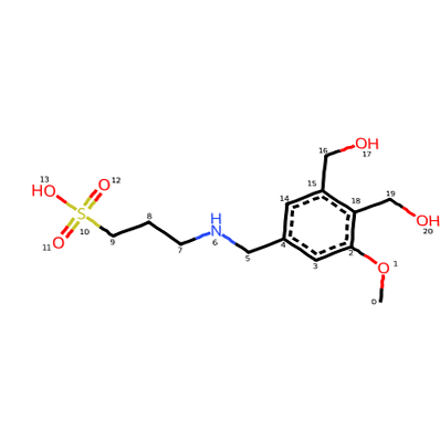 COc1cc(CNCCCS(=O)(=O)O)cc(CO)c1CO